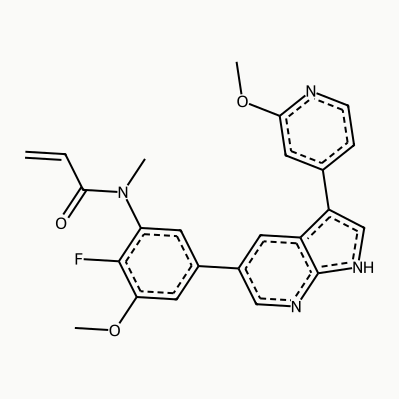 C=CC(=O)N(C)c1cc(-c2cnc3[nH]cc(-c4ccnc(OC)c4)c3c2)cc(OC)c1F